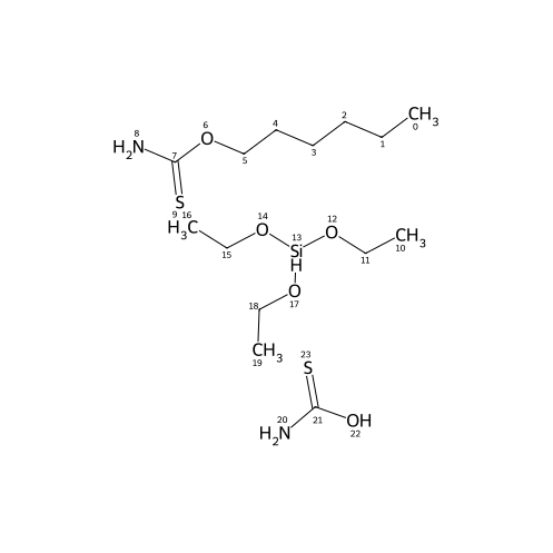 CCCCCCOC(N)=S.CCO[SiH](OCC)OCC.NC(O)=S